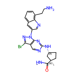 CNC(=O)[C@]1(C)CC[C@@H](Nc2ncc3c(Br)nn(-c4cnc5c(CCN)cccc5c4)c3n2)C1